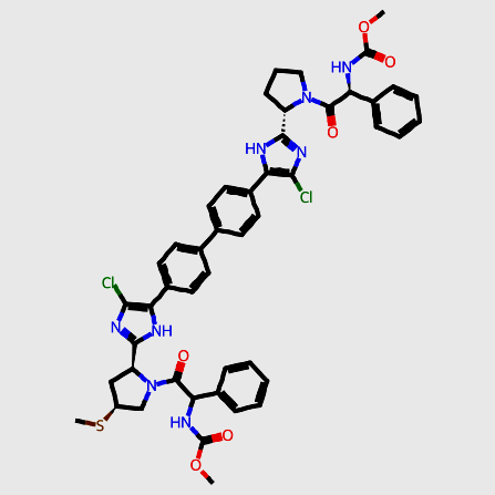 COC(=O)NC(C(=O)N1C[C@@H](SC)C[C@H]1c1nc(Cl)c(-c2ccc(-c3ccc(-c4[nH]c([C@@H]5CCCN5C(=O)[C@@H](NC(=O)OC)c5ccccc5)nc4Cl)cc3)cc2)[nH]1)c1ccccc1